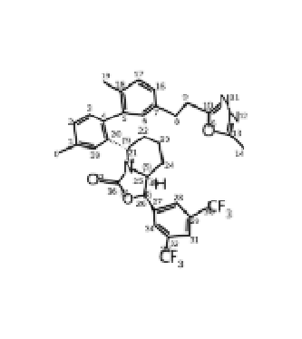 Cc1ccc(-c2cc(CCc3nnc(C)o3)ccc2C)c([C@@H]2CCC[C@H]3[C@@H](c4cc(C(F)(F)F)cc(C(F)(F)F)c4)OC(=O)N23)c1